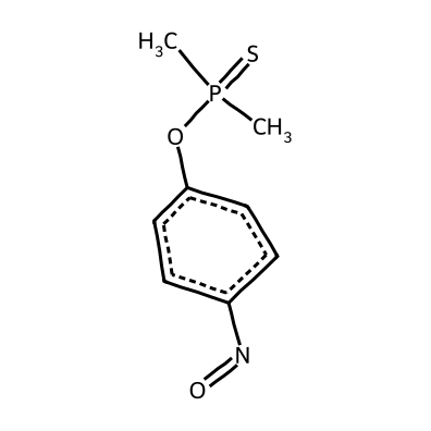 CP(C)(=S)Oc1ccc(N=O)cc1